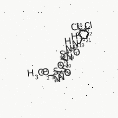 COCc1nnc(S(=O)(=O)Cc2csc(NC(=O)NCc3ccc(Cl)c(Cl)c3)n2)s1